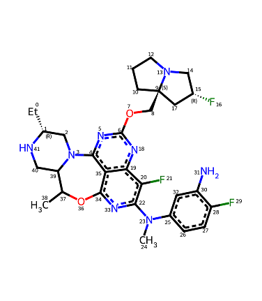 CC[C@@H]1CN2c3nc(OC[C@@]45CCCN4C[C@H](F)C5)nc4c(F)c(N(C)c5ccc(F)c(N)c5)nc(c34)OC(C)C2CN1